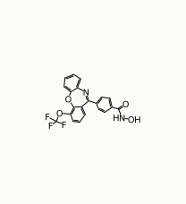 O=C(NO)c1ccc(C2=Nc3ccccc3Oc3c(OC(F)(F)F)cccc32)cc1